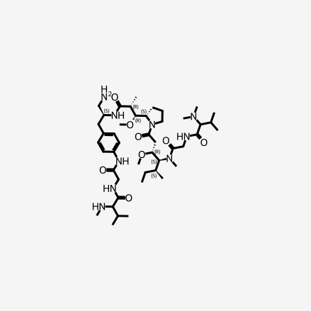 CC[C@H](C)[C@@H]([C@@H](CC(=O)N1CCC[C@H]1[C@H](OC)[C@@H](C)C(=O)N[C@H](CN)Cc1ccc(NC(=O)CNC(=O)C(NC)C(C)C)cc1)OC)N(C)C(=O)CNC(=O)C(C(C)C)N(C)C